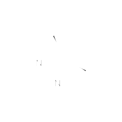 C[C@@H]1C[C@H](C)c2nccnc21